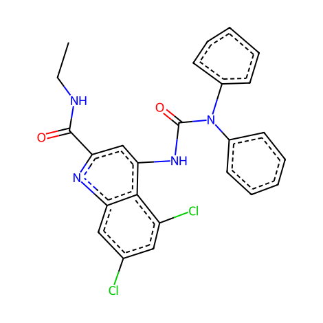 CCNC(=O)c1cc(NC(=O)N(c2ccccc2)c2ccccc2)c2c(Cl)cc(Cl)cc2n1